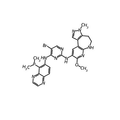 COc1nc2c(cc1Nc1ncc(Br)c(Nc3ccc4nccnc4c3P(C)C)n1)-c1cnn(C)c1CCN2